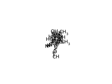 C#CCOCCOCCO[C@@]1(C(=O)OC)O[C@@H]([C@H](O)[C@H](O)CN=[N+]=[N-])[C@H](NC(=O)CO)[C@@H](NC(=O)CC)[C@@H]1O